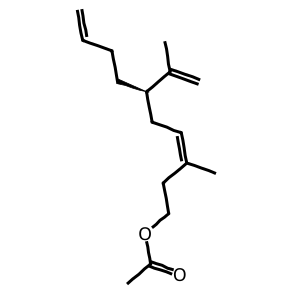 C=CCC[C@H](C/C=C(/C)CCOC(C)=O)C(=C)C